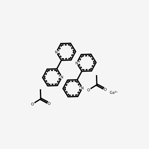 CC(=O)[O-].CC(=O)[O-].[Ga+3].c1ccc(-c2ccccn2)nc1.c1ccc(-c2ccccn2)nc1